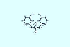 Cc1ccnc([S][Sn]([Cl])([Cl])[S]c2cc(C)ccn2)c1